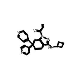 C=CC(=O)n1nc(NC2CCC2)c2c1CC(c1ccncc1)(c1ccncc1)C=C2